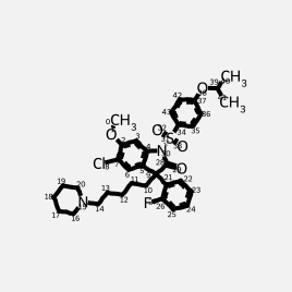 COc1cc2c(cc1Cl)C(CCCCCN1CCCCC1)(c1ccccc1F)C(=O)N2S(=O)(=O)c1ccc(OC(C)C)cc1